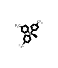 C#C[Si](c1ccc(C(F)(F)F)cc1)(c1ccc(C(F)(F)F)cc1)c1ccc(C(F)(F)F)cc1